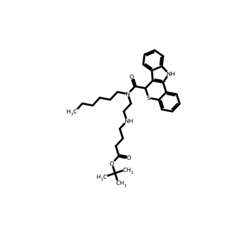 CCCCCCN(CCNCCCC(=O)OC(C)(C)C)C(=O)C1Sc2ccccc2-c2[nH]c3ccccc3c21